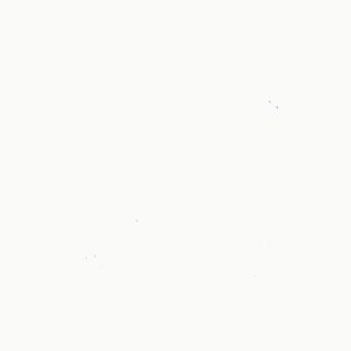 CC1(C(=O)O)C=CC=C(C(=O)O)C1.Cl.c1ccc2cnccc2c1